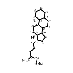 CC(C)(C)OC(O)CCC[C@H]1CCC2C3CCC4CCCC[C@]4(C)C3CC[C@@H]21